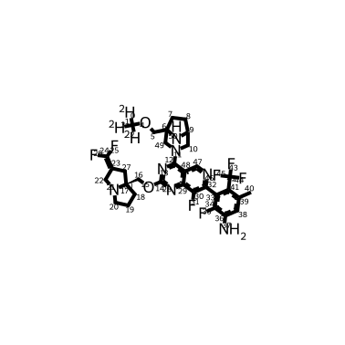 [2H]C([2H])([2H])OCC12CCC(CN(c3nc(OC[C@@]45CCCN4CC(=C(F)F)C5)nc4c(F)c(-c5c(F)c(N)cc(C)c5C(F)(F)F)ncc34)C1)N2